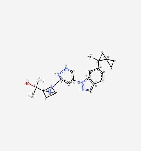 CC(C)(O)C12CC(C1)N(c1cc(-n3ncc4ccc(C5(C#N)CC56CC6)cc43)cnn1)C2